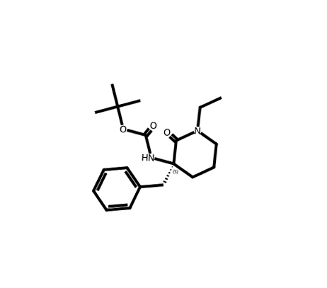 CCN1CCC[C@@](Cc2ccccc2)(NC(=O)OC(C)(C)C)C1=O